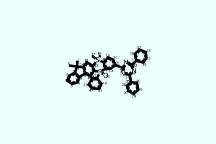 CC1(C)c2ccccc2-c2cc3c(cc21)[Si](C)(C)c1ccc(-c2nc(-c4ccccc4)nc(-c4ccccc4)n2)cc1P3(=O)c1ccccc1